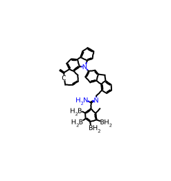 Bc1c(B)c(B)c(/C(N)=N/Cc2cccc3c2-c2ccc(-n4c5ccccc5c5ccc6c(c54)C/C=C\CCC6=C)cc2C3)c(C)c1B